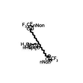 CCCCCCCCCC(OC(=O)CCCCCCCCC(CCCCCCCCC(=O)OC(CCCCCCCCC)C(F)(F)C(F)(F)F)N(CCCN(C)C)C(=O)CCCCCCC)C(F)(F)C(F)(F)F